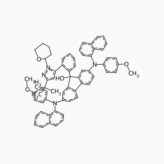 COc1ccc(N(c2ccc3c(c2)C(O)(c2ccccc2-c2cc(C(C)(C)C)nn2C2CCCCO2)c2cc(N(c4ccc(OC)cc4)c4cccc5ccccc45)ccc2-3)c2cccc3ccccc23)cc1